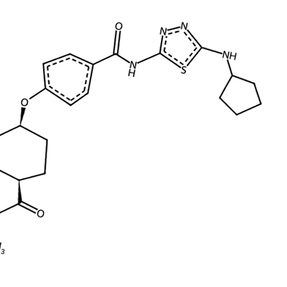 COC(=O)[C@H]1CC[C@@H](Oc2ccc(C(=O)Nc3nnc(NC4CCCC4)s3)cc2)CC1